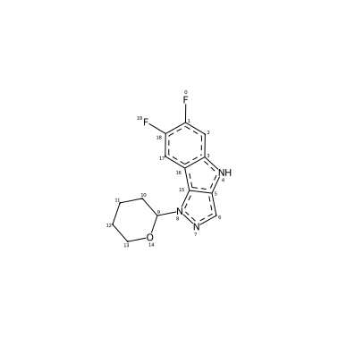 Fc1cc2[nH]c3cnn(C4CCCCO4)c3c2cc1F